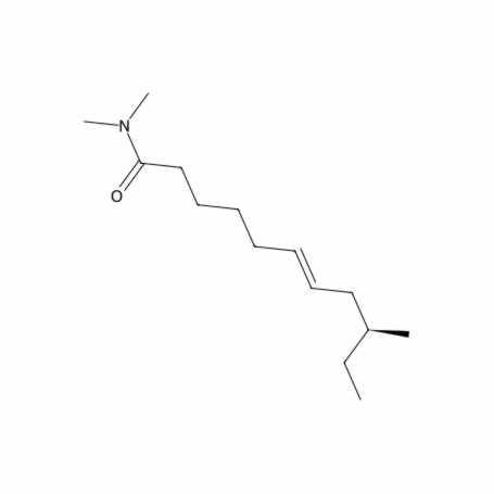 CC[C@H](C)C/C=C/CCCCC(=O)N(C)C